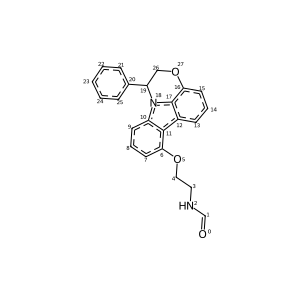 O=CNCCOc1cccc2c1c1cccc3c1n2C(c1ccccc1)CO3